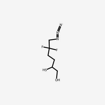 [N-]=[N+]=NCC(F)(F)CCC(S)CO